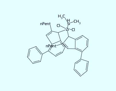 CCCCCC1=Cc2c(-c3ccccc3)cccc2[CH]1[Zr]([Cl])([Cl])([CH]1C(CCCCC)=Cc2c(-c3ccccc3)cccc21)[SiH](C)C